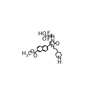 COC(=O)c1ccc2cc(-c3c[nH]c(=O)n3CCC3CCNCC3)ccc2c1.O=C(O)C(F)(F)F